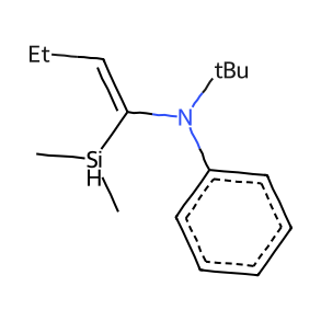 CC/C=C(/N(c1ccccc1)C(C)(C)C)[SiH](C)C